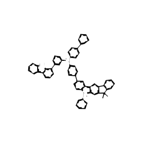 CC1(C)c2ccccc2-c2cc3c4cc(-c5ccc(N(c6ccc(-c7ccccc7)cc6)c6cccc(-c7cccc8c7oc7ccccc78)c6)cc5)ccc4n(-c4ccccc4)c3cc21